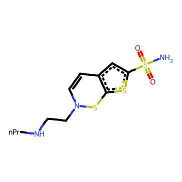 CCCNCCN1C=Cc2cc(S(N)(=O)=O)sc2S1